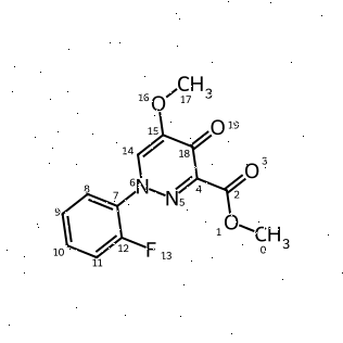 COC(=O)c1nn(-c2ccccc2F)cc(OC)c1=O